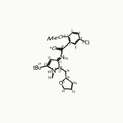 COc1ccc(Cl)cc1C(=O)/N=c1\cc(C(C)(C)C)n(C)n1C[C@H]1CCCO1